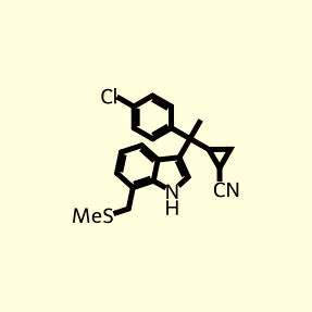 CSCc1cccc2c(C(C)(c3ccc(Cl)cc3)C3CC3C#N)c[nH]c12